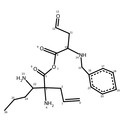 C=CCC(N)(C(=O)OC(=O)C(CC=O)NCc1ccccc1)C(N)CCC